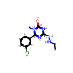 CCNNc1nc(-c2cccc(Cl)c2)n(C)c(=O)n1